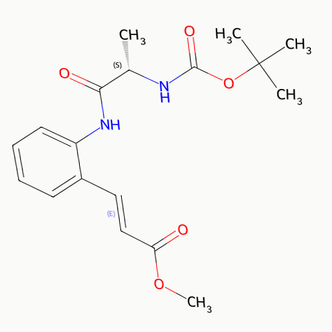 COC(=O)/C=C/c1ccccc1NC(=O)[C@H](C)NC(=O)OC(C)(C)C